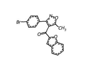 Cc1onc(-c2ccc(Br)cc2)c1C(=O)c1cc2ccccc2o1